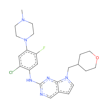 CN1CCN(c2cc(Cl)c(Nc3ncc4ccn(CC5CCOCC5)c4n3)cc2F)CC1